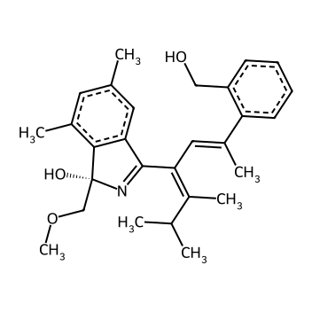 COC[C@]1(O)N=C(C(/C=C(\C)c2ccccc2CO)=C(/C)C(C)C)c2cc(C)cc(C)c21